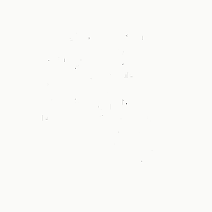 CCC(C)C(N=Cc1cc(F)cc(F)c1O)C(O)(c1cc(C(C)(C)C)cc(C(C)(C)C)c1)c1cc(C(C)(C)C)cc(C(C)(C)C)c1